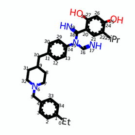 CCc1ccc(CN2CCC(Cc3ccc(N(C=N)C(=N)c4cc(C(C)C)c(O)cc4O)cc3)CC2)cc1